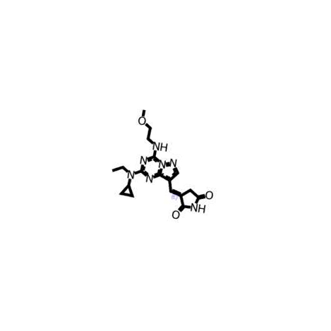 CCN(c1nc(NCCOC)n2ncc(/C=C3\CC(=O)NC3=O)c2n1)C1CC1